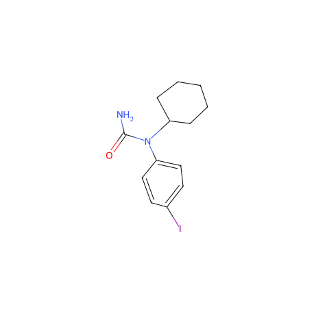 NC(=O)N(c1ccc(I)cc1)C1CCCCC1